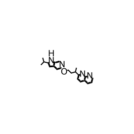 CC(C)c1cc2cc(OCCC(C)c3ccc4cccnc4n3)ncc2[nH]1